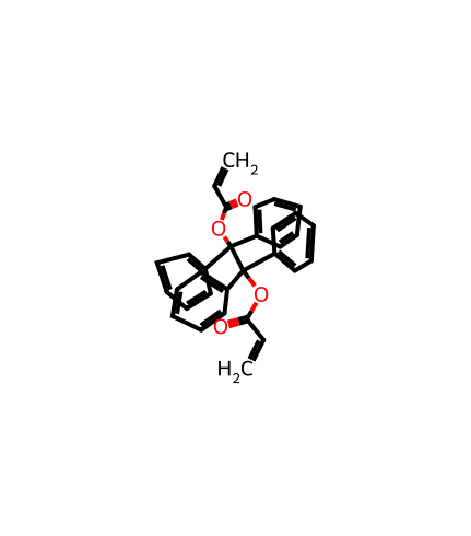 C=CC(=O)OC(c1ccccc1)(c1ccccc1)C(OC(=O)C=C)(c1ccccc1)c1ccccc1